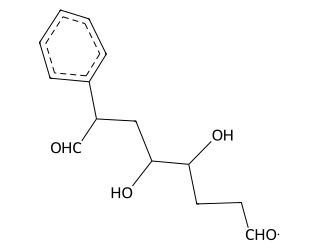 O=[C]CCC(O)C(O)CC(C=O)c1ccccc1